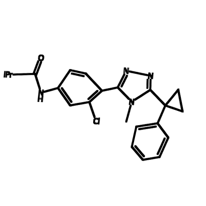 CC(C)C(=O)Nc1ccc(-c2nnc(C3(c4ccccc4)CC3)n2C)c(Cl)c1